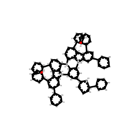 c1ccc(-c2cc(-c3ccccc3)c3c4c(-c5ccccc5)ccc5c4n(c3c2)-c2cc(-c3cccc(-c4ccccc4)n3)cc3c2B5c2ccc(-c4ccccc4)c4c5c(-c6ccccc6)cc(-c6ccccc6)cc5n-3c24)cc1